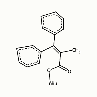 CCCCOC(=O)C(C)=C(c1ccccc1)c1ccccc1